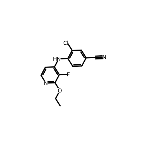 CCOc1nccc(Nc2ccc(C#N)cc2Cl)c1F